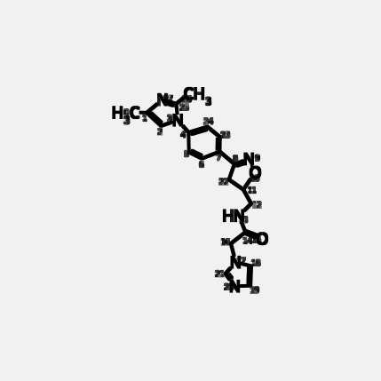 Cc1cn(-c2ccc(C3=NOC(CNC(=O)Cn4ccnc4)C3)cc2)c(C)n1